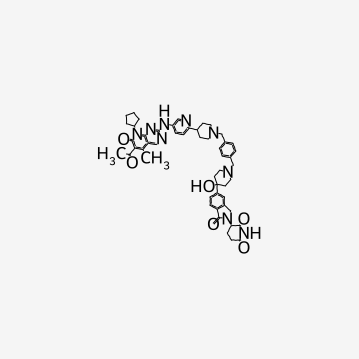 CC(=O)c1c(C)c2cnc(Nc3ccc(C4CCN(Cc5ccc(CN6CCC(O)(c7ccc8c(c7)CN(C7CCC(=O)NC7=O)C8=O)CC6)cc5)CC4)nc3)nc2n(C2CCCC2)c1=O